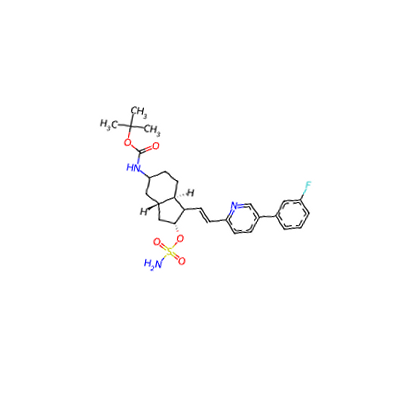 CC(C)(C)OC(=O)NC1CC[C@H]2C(C=Cc3ccc(-c4cccc(F)c4)cn3)[C@H](OS(N)(=O)=O)C[C@@H]2C1